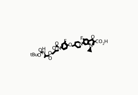 CC(NC(=O)OC(C)(C)C)C(=O)OCC1CN(c2ccc(OCC3CCN(c4cc5c(cc4F)c(=O)c(C(=O)O)cn5C4CC4)CC3)c(F)c2)C(=O)O1